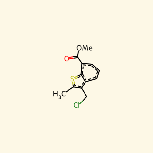 COC(=O)c1cccc2c(CCl)c(C)sc12